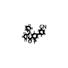 N#Cc1cccc(-c2ccc(C(=O)N3CCCC3CN3CCCC3)c(F)c2)c1